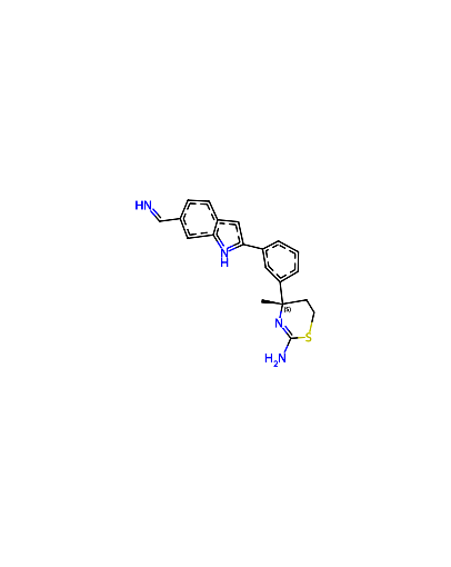 C[C@@]1(c2cccc(-c3cc4ccc(C=N)cc4[nH]3)c2)CCSC(N)=N1